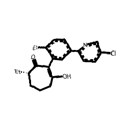 CCc1ccc(-c2ccc(Cl)cn2)cc1C1=C(O)CCC[C@H](CC)C1=O